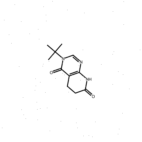 CC(C)(C)n1cnc2c(c1=O)CCC(=O)N2